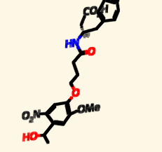 COc1cc(C(C)O)c([N+](=O)[O-])cc1OCCCC(=O)N[C@H](CC(=O)O)Cc1ccc(Br)cc1